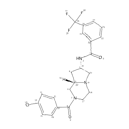 O=C(N[C@H]1C[C@H]2CN(C(=O)c3ccc(Cl)cc3)CCN2C1)c1cccc(C(F)(F)F)c1